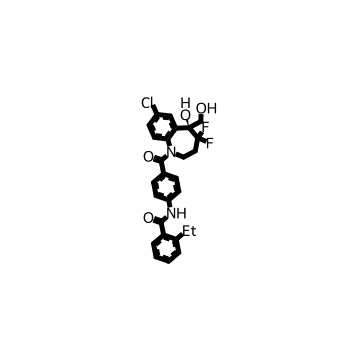 CCc1ccccc1C(=O)Nc1ccc(C(=O)N2CCC(F)(F)[C@](O)(CO)c3cc(Cl)ccc32)cc1